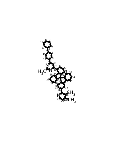 Cc1nc(-c2ccc(-c3ccccc3)cc2)cc(-c2cccc3c2-c2ccccc2C32c3ccccc3-c3cc(-c4nccc(C)c4C)ccc32)n1